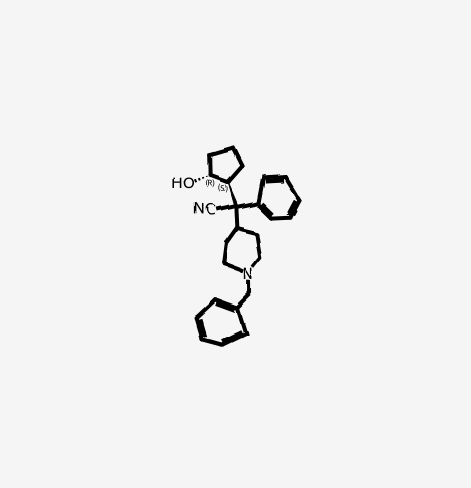 N#CC(c1ccccc1)(C1CCN(Cc2ccccc2)CC1)[C@@H]1CCC[C@H]1O